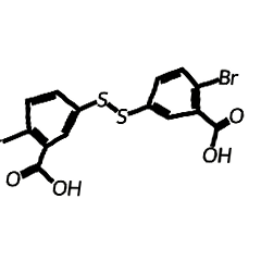 O=C(O)c1cc(SSc2ccc(Br)c(C(=O)O)c2)ccc1Br